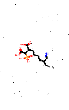 CCC(C=N)CCCCC(C(=O)O)C(C(=O)O)P(=O)(O)O